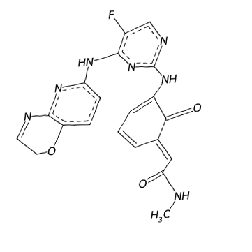 CNC(=O)C=C1C=CC=C(Nc2ncc(F)c(Nc3ccc4c(n3)N=CCO4)n2)C1=O